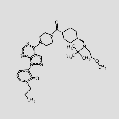 CCCn1cccc(-n2ncc3c(N4CCN(C(=O)[C@H]5CC[C@H](CN(CCOC)C(C)(C)C)CC5)CC4)ncnc32)c1=O